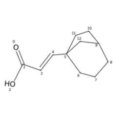 O=C(O)C=CC12CCCC(CC1)C2